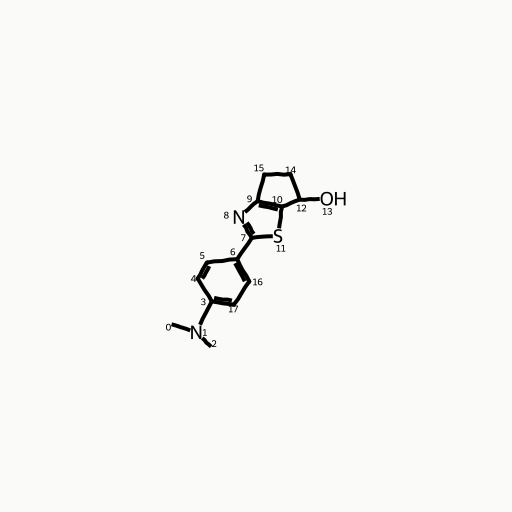 CN(C)c1ccc(-c2nc3c(s2)C(O)CC3)cc1